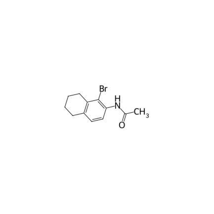 CC(=O)Nc1ccc2c(c1Br)CCCC2